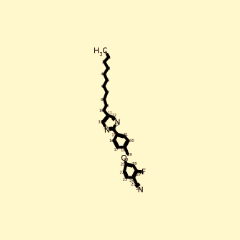 CCCCCCCCCCCc1cnc(-c2ccc(COc3ccc(C#N)c(F)c3)cc2)nc1